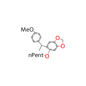 CCCCCOc1cc2c(cc1C(C)c1ccc(OC)cc1)OCO2